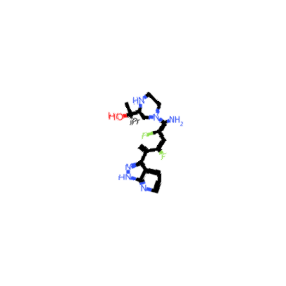 C=C(/C(F)=C\C(F)=C(/N)N1CCNC(C(C)(O)C(C)C)C1)c1n[nH]c2ncccc12